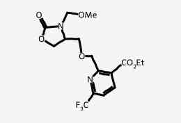 CCOC(=O)c1ccc(C(F)(F)F)nc1COCC1COC(=O)N1COC